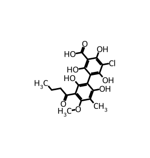 CCCC(=O)c1c(O)c(-c2c(O)c(Cl)c(O)c(C(=O)O)c2O)c(O)c(C)c1OC